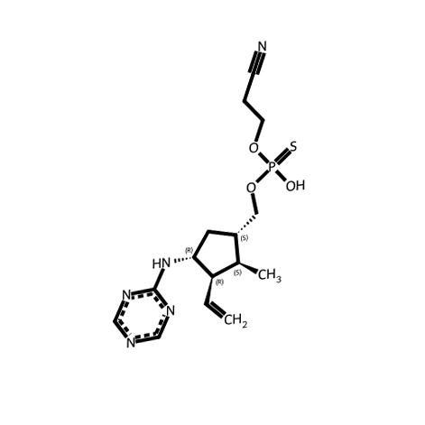 C=C[C@@H]1[C@H](C)[C@@H](COP(O)(=S)OCCC#N)C[C@H]1Nc1ncncn1